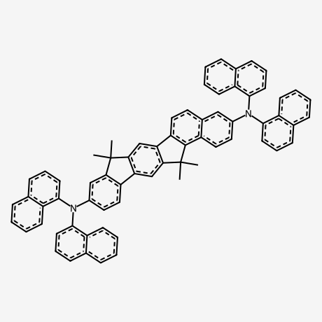 CC1(C)c2cc(N(c3cccc4ccccc34)c3cccc4ccccc34)ccc2-c2cc3c(cc21)-c1ccc2cc(N(c4cccc5ccccc45)c4cccc5ccccc45)ccc2c1C3(C)C